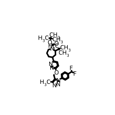 Cc1nnn(-c2ccc(C(F)F)cc2)c1COc1ccc(C2CCCN(C(=O)OC(C)(C)C)C(C(C)(C)C)C2)nn1